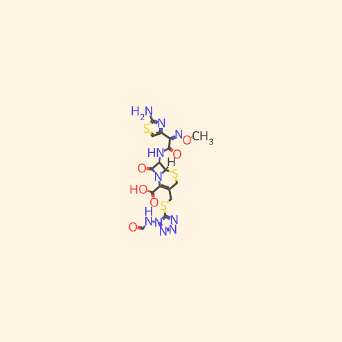 CO/N=C(\C(=O)N[C@@H]1C(=O)N2C(C(=O)O)=C(CSc3nnnn3NC=O)CS[C@@H]12)c1csc(N)n1